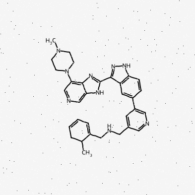 CC1CC=CC=C1CNCc1cncc(-c2ccc3[nH]nc(-c4nc5c(N6CCN(C)CC6)cncc5[nH]4)c3c2)c1